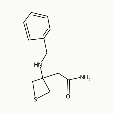 NC(=O)CC1(NCc2ccccc2)CSC1